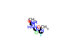 COc1cc(Nc2cc(Cl)nc(OC(C)c3ccc(F)cn3)n2)n[nH]1